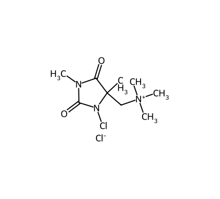 CN1C(=O)N(Cl)C(C)(C[N+](C)(C)C)C1=O.[Cl-]